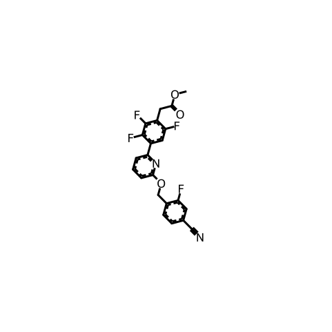 COC(=O)Cc1c(F)cc(-c2cccc(OCc3ccc(C#N)cc3F)n2)c(F)c1F